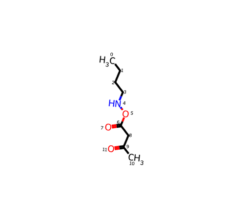 CCCCNOC(=O)CC(C)=O